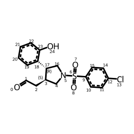 O=CC[C@@H]1CN(S(=O)(=O)c2ccc(Cl)cc2)C[C@H]1c1ccccc1O